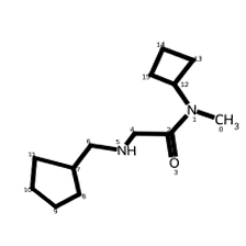 CN(C(=O)CNCC1CCCC1)C1CCC1